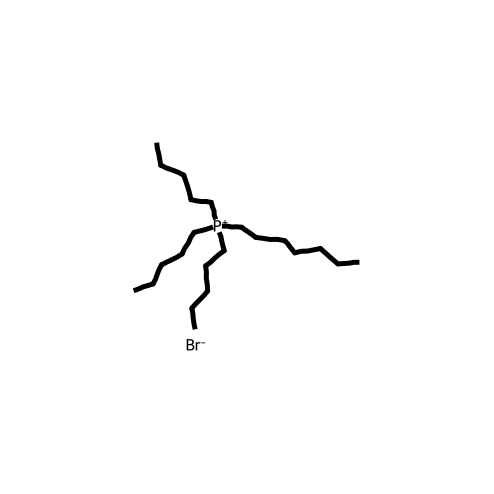 CCCCCCC[P+](CCCCC)(CCCCC)CCCCC.[Br-]